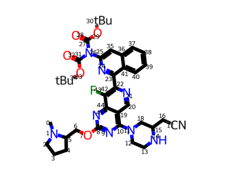 CN1CCCC1COc1nc(N2CCNC(CC#N)C2)c2cnc(-c3nc(N(C(=O)OC(C)(C)C)C(=O)OC(C)(C)C)cc4ccccc34)c(F)c2n1